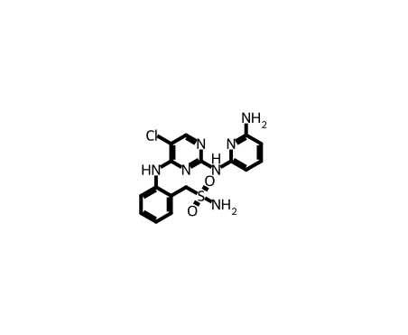 Nc1cccc(Nc2ncc(Cl)c(Nc3ccccc3CS(N)(=O)=O)n2)n1